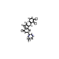 C=C/C=C(\C=C/N)c1cc(=O)n2c(n1)c(Cc1cccc(Cl)c1Cl)c(C)n2C